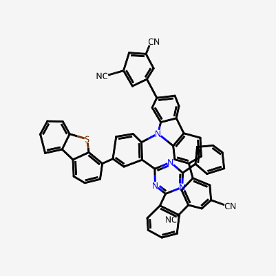 N#Cc1cc(C#N)cc(-c2ccc3c4ccc(-c5cc(C#N)cc(C#N)c5)cc4n(-c4ccc(-c5cccc6c5sc5ccccc56)cc4-c4nc(-c5ccccc5)nc(-c5ccccc5)n4)c3c2)c1